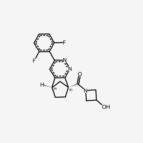 O=C(N1CC(O)C1)[C@]12CC[C@H](C1)c1cc(-c3c(F)cccc3F)nnc12